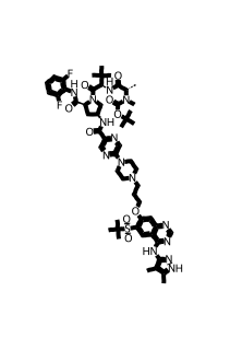 Cc1[nH]nc(Nc2ncnc3cc(OCCCN4CCN(c5cnc(C(=O)N[C@H]6C[C@@H](C(=O)Nc7c(F)cccc7F)N(C(=O)[C@@H](NC(=O)[C@H](C)N(C)C(=O)OC(C)(C)C)C(C)(C)C)C6)cn5)CC4)c(S(=O)(=O)C(C)(C)C)cc23)c1C